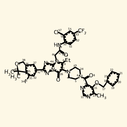 CCc1c(N2CCN(C(=O)c3ncnc(C)c3OCc3ccccc3)CC2)c(=O)n2nc(-c3cc(F)c4c(c3)COC4(C)C)nc2n1CC(=O)Nc1ccc(C(F)(F)F)cc1Cl